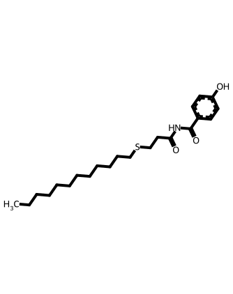 CCCCCCCCCCCCSCCC(=O)NC(=O)c1ccc(O)cc1